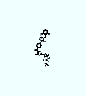 Cc1nc(N2CC(C)(NC(=O)OC(C)(C)C)C2)sc1C(C)c1ccc(-n2ncn(Cc3c(F)cccc3F)c2=O)cc1